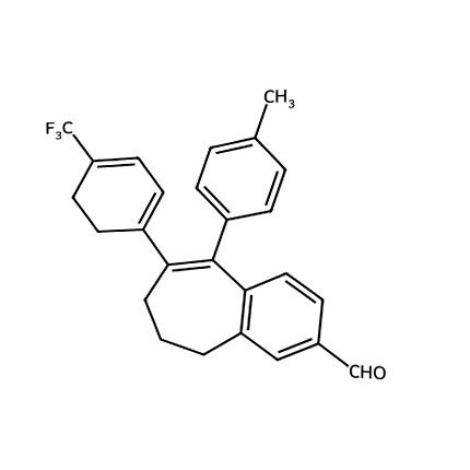 Cc1ccc(C2=C(C3=CC=C(C(F)(F)F)CC3)CCCc3cc(C=O)ccc32)cc1